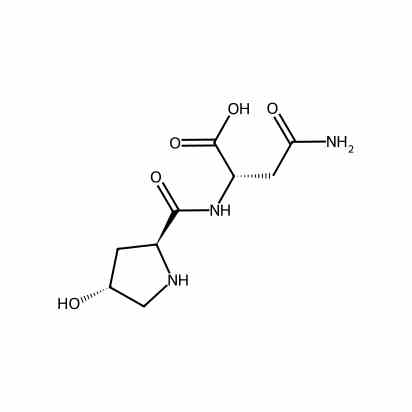 NC(=O)C[C@H](NC(=O)[C@@H]1C[C@@H](O)CN1)C(=O)O